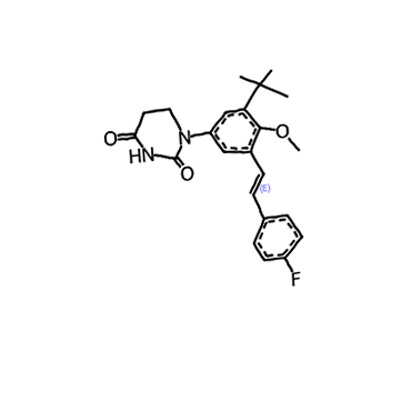 COc1c(/C=C/c2ccc(F)cc2)cc(N2CCC(=O)NC2=O)cc1C(C)(C)C